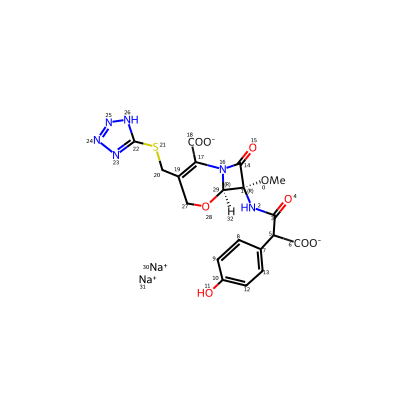 CO[C@@]1(NC(=O)C(C(=O)[O-])c2ccc(O)cc2)C(=O)N2C(C(=O)[O-])=C(CSc3nnn[nH]3)CO[C@@H]21.[Na+].[Na+]